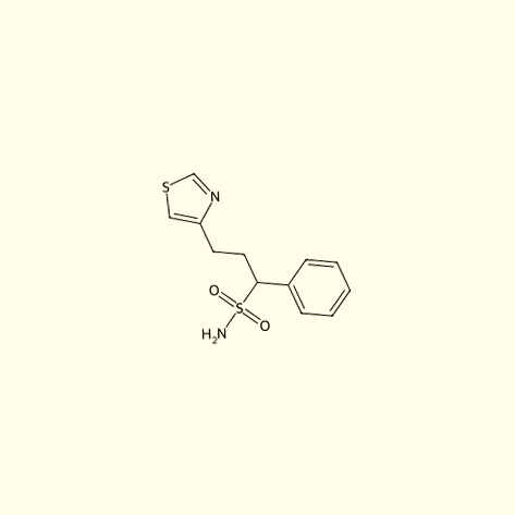 NS(=O)(=O)C(CCc1cscn1)c1ccccc1